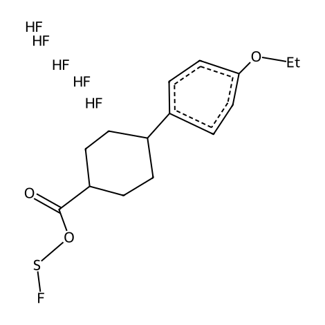 CCOc1ccc(C2CCC(C(=O)OSF)CC2)cc1.F.F.F.F.F